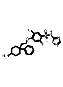 NC1CCC(CCOc2cc(F)c(S(=O)(=O)Nc3ncns3)cc2Cl)(c2ccccc2)CC1